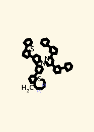 C=C1/C=C\C=C/CSc2c1cccc2-c1ccc2c(c1)c1cc(-c3cccc4c3sc3ccccc34)ccc1n2-c1cc(-c2cccc(-c3ccccc3)c2)cc(-c2cccc(-c3ccccc3)c2)n1